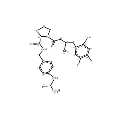 CC(C)[C@H](Nc1ccc(CNC(=O)[C@@H]2SCCN2C(=O)CC(N)Cc2cc(F)c(F)cc2F)cc1)C(=O)O